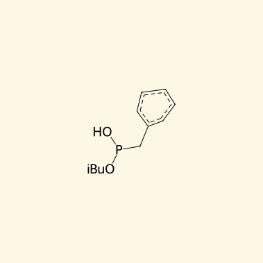 CC(C)COP(O)Cc1ccccc1